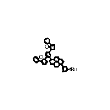 CC(C)(C)c1cccc(-c2ccc3ccc4c(-c5cc(-c6cccc7c6oc6ccccc67)ccc5-c5cccc6c5oc5ccccc56)ccc5ccc2c3c54)c1